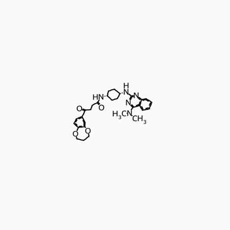 CN(C)c1nc(N[C@H]2CC[C@@H](NC(=O)CCC(=O)c3ccc4c(c3)OCCCO4)CC2)nc2ccccc12